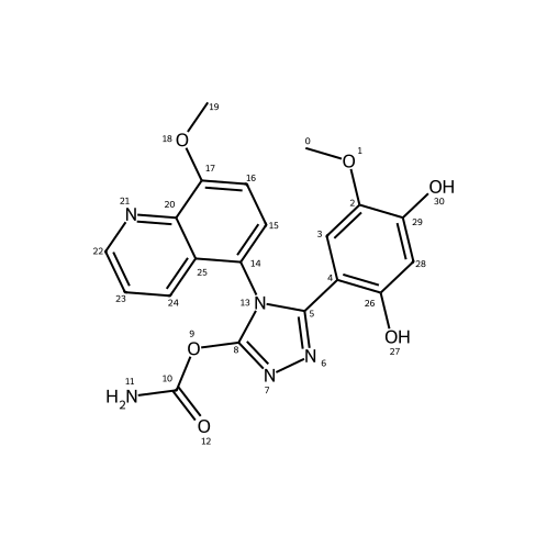 COc1cc(-c2nnc(OC(N)=O)n2-c2ccc(OC)c3ncccc23)c(O)cc1O